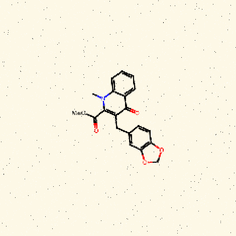 COC(=O)c1c(Cc2ccc3c(c2)OCO3)c(=O)c2ccccc2n1C